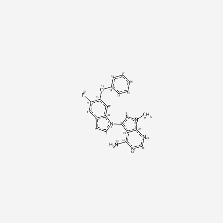 Cn1nc(-n2ccc3cc(F)c(Oc4ccccc4)cc32)c2c(N)ncnc21